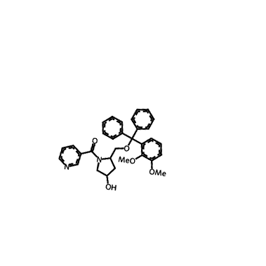 COc1cccc(C(OCC2CC(O)CN2C(=O)c2cccnc2)(c2ccccc2)c2ccccc2)c1OC